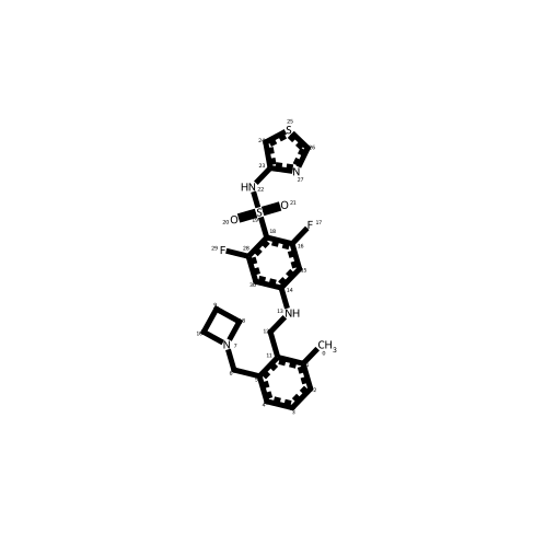 Cc1cccc(CN2CCC2)c1CNc1cc(F)c(S(=O)(=O)Nc2cscn2)c(F)c1